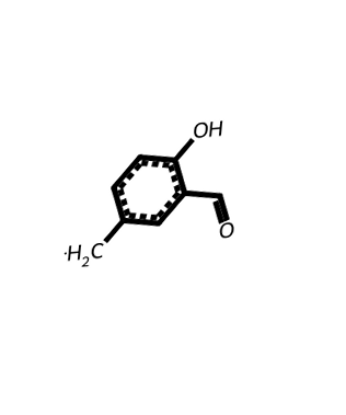 [CH2]c1ccc(O)c(C=O)c1